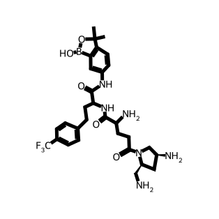 CC1(C)OB(O)c2cc(NC(=O)C(CCc3ccc(C(F)(F)F)cc3)NC(=O)C(N)CCC(=O)N3C[C@@H](N)C[C@H]3CN)ccc21